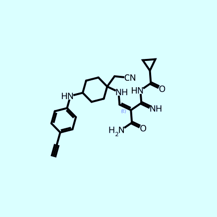 C#Cc1ccc(NC2CCC(CC#N)(N/C=C(\C(=N)NC(=O)C3CC3)C(N)=O)CC2)cc1